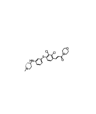 CN1CCC(Nc2cccc(Sc3ccc(/C=C/C(=O)N4CCOCC4)c(Cl)c3Cl)c2)CC1